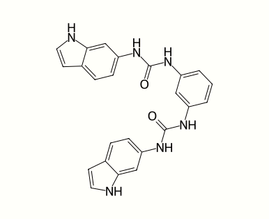 O=C(Nc1cccc(NC(=O)Nc2ccc3cc[nH]c3c2)c1)Nc1ccc2cc[nH]c2c1